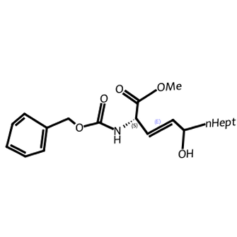 CCCCCCCC(O)/C=C/[C@H](NC(=O)OCc1ccccc1)C(=O)OC